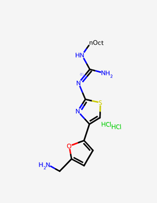 CCCCCCCCN/C(N)=N/c1nc(-c2ccc(CN)o2)cs1.Cl.Cl